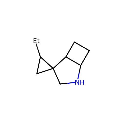 CCC1CC12CNC1CCC12